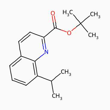 CC(C)c1cccc2ccc(C(=O)OC(C)(C)C)nc12